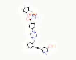 O=C(NS(=O)(=O)Cc1ccccc1)c1ccc(N2CCN(Cc3ccccc3C#Cc3cncc(O)c3)CC2)cc1